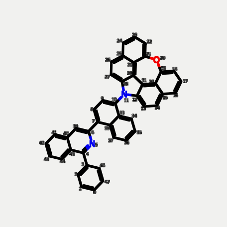 c1ccc(-c2nc(-c3ccc(-n4c5ccc6cccc7oc8cccc9ccc4c(c98)c5c67)c4ccccc34)cc3ccccc23)cc1